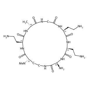 CN[C@H]1CCNC(=O)[C@H](N)NC(=O)[C@H](CCN)NC(=O)[C@H](CCN)NC(=O)CNC(=O)[C@@H](C)NC(=O)[C@H](CCN)NC1=O